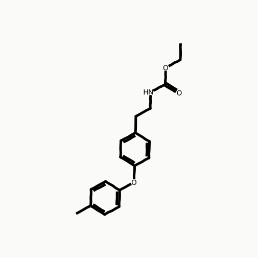 CCOC(=O)NCCc1ccc(Oc2ccc(C)cc2)cc1